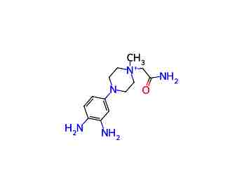 C[N+]1(CC(N)=O)CCN(c2ccc(N)c(N)c2)CC1